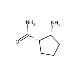 NC(=O)[C@H]1CCC[C@H]1N